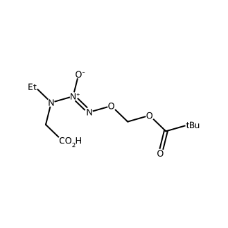 CCN(CC(=O)O)[N+]([O-])=NOCOC(=O)C(C)(C)C